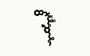 CCOC(=O)CCc1ccc(Br)c(OC[C@H](O)CNC(C)(C)CC2Cc3ccccc3C2)c1